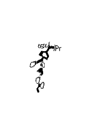 C=CC(=O)OCCOC(=O)c1ccc(C(C(C)C)C(C)(C)C)cc1